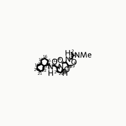 CN[C@@H](C)C(=O)NC1C(=O)N2C(C(=O)N[C@@H]3CCCc4ccccc43)CC[C@@H]2O[C@@H]1C